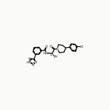 CC(C)[C@@H](NC(=O)c1cccc(-c2nn[nH]n2)c1)C(=O)N1CCC(c2ccc(Cl)cc2)CC1